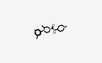 Cc1cccc(N2CCN(C(=O)NC3CCN(C)CC3)CC2C)c1